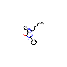 CCCCCc1nc(CC)c2c(=O)[nH]c(-c3ccccc3)nn12